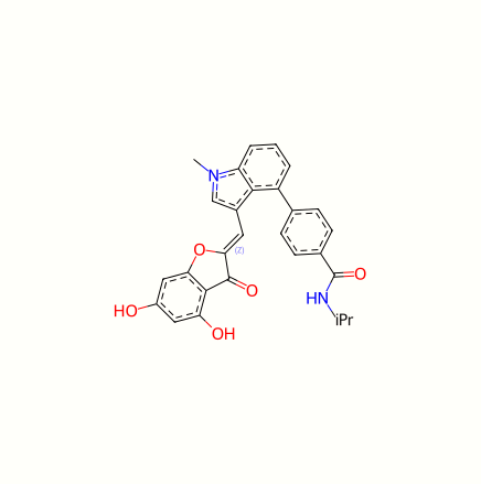 CC(C)NC(=O)c1ccc(-c2cccc3c2c(/C=C2\Oc4cc(O)cc(O)c4C2=O)cn3C)cc1